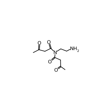 CC(=O)CC(=O)N(CCN)C(=O)CC(C)=O